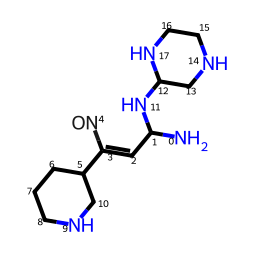 NC(/C=C(\N=O)C1CCCNC1)NC1CNCCN1